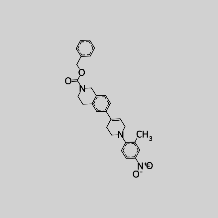 Cc1cc([N+](=O)[O-])ccc1N1CC=C(c2ccc3c(c2)CCN(C(=O)OCc2ccccc2)C3)CC1